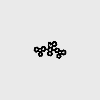 c1ccc2c(c1)-c1ccc(-c3c4ccccc4c(-c4ccc5c(c4)C4(CCCC4)c4ccccc4-5)c4c3cnc3ccccc34)cc1C21CCCC1